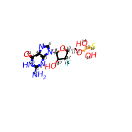 Nc1nc2c(ncn2[C@@H]2O[C@H](COP(O)(O)=S)[C@H](F)C2O)c(=O)[nH]1